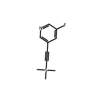 CS(C)(C)C#Cc1cncc(F)c1